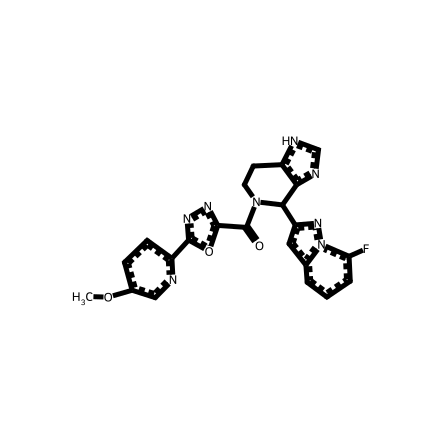 COc1ccc(-c2nnc(C(=O)N3CCc4[nH]cnc4C3c3cc4cccc(F)n4n3)o2)nc1